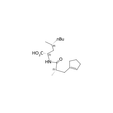 CCCC[C@@H](C)C[C@H](NC(=O)[C@@H](C)CC1=CCCC1)C(=O)O